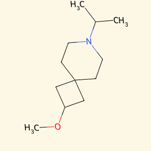 COC1CC2(CCN(C(C)C)CC2)C1